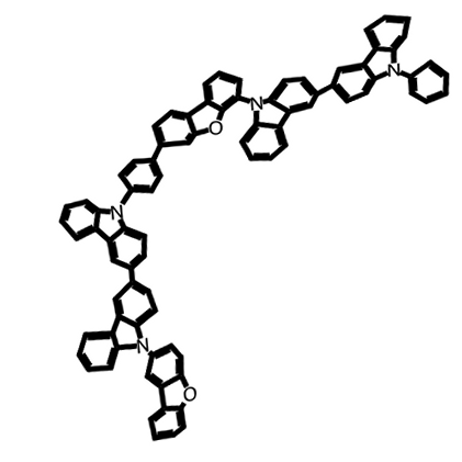 c1ccc(-n2c3ccccc3c3cc(-c4ccc5c(c4)c4ccccc4n5-c4cccc5c4oc4cc(-c6ccc(-n7c8ccccc8c8cc(-c9ccc%10c(c9)c9ccccc9n%10-c9ccc%10oc%11ccccc%11c%10c9)ccc87)cc6)ccc45)ccc32)cc1